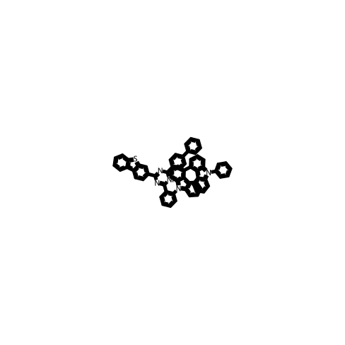 c1ccc(-c2ccc(C3N=C(c4ccc5c(c4)sc4ccccc45)N=C(c4ccccc4-n4c5ccccc5c5c(-c6cccc7c6c6ccccc6n7-c6ccccc6)cccc54)N3)cc2)cc1